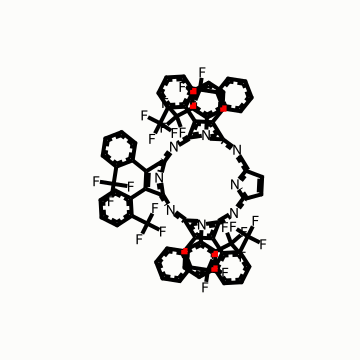 FC(F)(F)c1ccccc1C1=C(c2ccccc2C(F)(F)F)c2nc1nc1c(-c3ccccc3C(F)(F)F)c(-c3ccccc3C(F)(F)F)c(nc3nc(nc4c(-c5ccccc5C(F)(F)F)c(-c5ccccc5C(F)(F)F)c(n2)n4-c2ccccc2C(F)(F)F)C=C3)n1-c1ccccc1C(F)(F)F